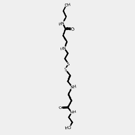 O=C(CCNCCSSCCNCCC(=O)NCCO)NCCO